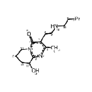 Cc1nc2n(c(=O)c1CCNCCC(C)C)CCCC2O